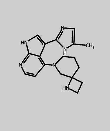 Cc1cnc(-c2c[nH]c3nccc(N4CCCC5(CCN5)C4)c23)[nH]1